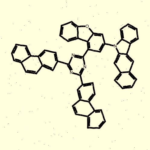 c1ccc2cc3c(cc2c1)c1ccccc1n3-c1cc(-c2nc(-c3ccc4c(ccc5ccccc54)c3)nc(-c3ccc4c(ccc5ccccc54)c3)n2)c2c(c1)oc1ccccc12